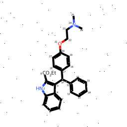 CCOC(=O)c1[nH]c2ccccc2c1C(c1ccccc1)c1ccc(OCCN(C)C)cc1